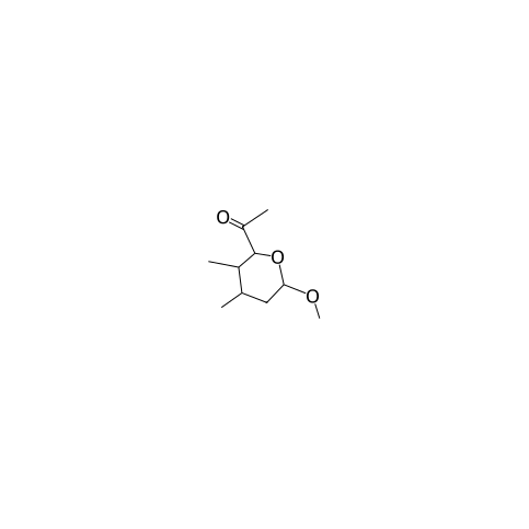 COC1CC(C)C(C)C(C(C)=O)O1